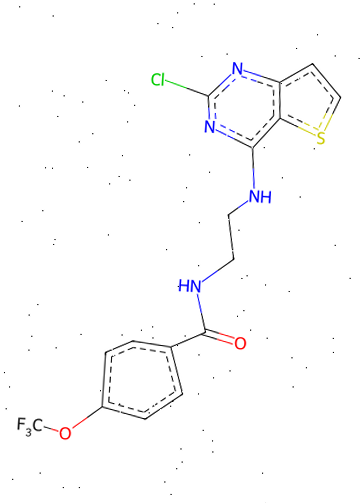 O=C(NCCNc1nc(Cl)nc2ccsc12)c1ccc(OC(F)(F)F)cc1